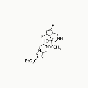 CCOC(=O)c1cn2c(n1)CN([C@H](C)[C@]1(O)CNCC3C(F)=CC(F)=C31)CC2